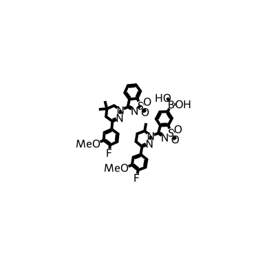 COc1cc(C2=NN(C3=NS(=O)(=O)c4cc(B(O)O)ccc43)C(C)CC2)ccc1F.COc1cc(C2=NN(C3=NS(=O)(=O)c4ccccc43)CC(C)(C)C2)ccc1F